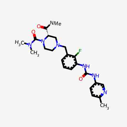 CNC(=O)[C@@H]1CN(Cc2cccc(NC(=O)Nc3ccc(C)nc3)c2F)CCN1C(=O)N(C)C